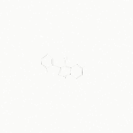 Oc1ccc2ncc(-c3ccccc3O)c(Cl)c2c1